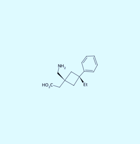 CC[C@]1(c2ccccc2)C[C@@](CN)(CC(=O)O)C1